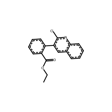 CCOC(=O)c1ccccc1-c1cc2ccccc2nc1Cl